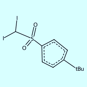 CC(C)(C)c1ccc(S(=O)(=O)C(I)I)cc1